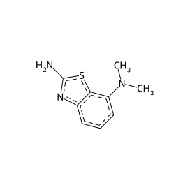 CN(C)c1cccc2nc(N)sc12